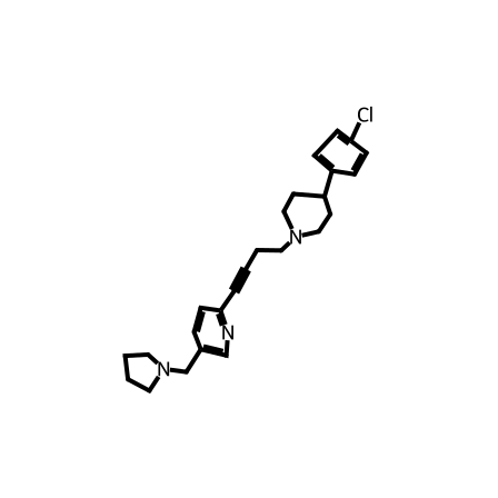 Clc1ccc(C2CCN(CCC#Cc3ccc(CN4CCCC4)cn3)CC2)cc1